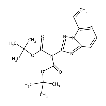 C=Cc1nccc2nc(N(C(=O)OC(C)(C)C)C(=O)OC(C)(C)C)nn12